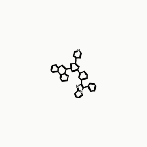 c1ccc(-c2c(-c3cccc(-c4cc(-c5ccncc5)cc(-c5cc6ccccc6c6ccccc56)c4)c3)nc3ccccn23)cc1